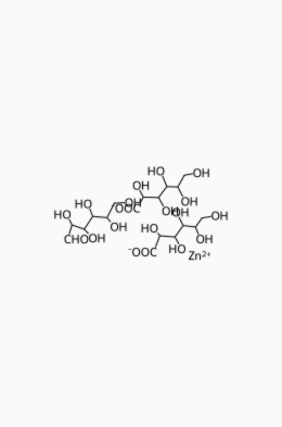 O=C([O-])C(O)C(O)C(O)C(O)CO.O=C([O-])C(O)C(O)C(O)C(O)CO.O=CC(O)C(O)C(O)C(O)CO.[Zn+2]